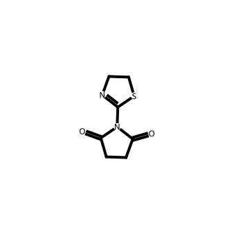 O=C1CCC(=O)N1C1=NCCS1